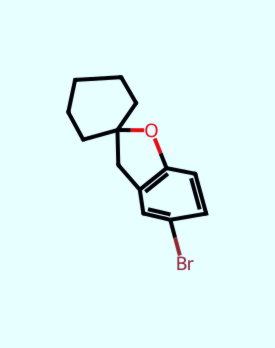 Brc1ccc2c(c1)CC1(CCCCC1)O2